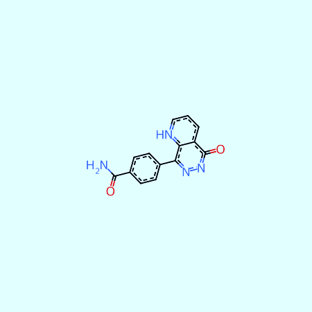 NC(=O)c1ccc(-c2nnc(=O)c3ccc[nH]c2-3)cc1